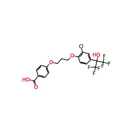 O=C(O)c1ccc(OCCCOc2ccc(C(O)(C(F)(F)F)C(F)(F)F)cc2Cl)cc1